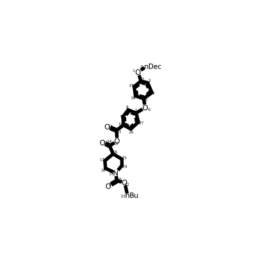 CCCCCCCCCCOc1ccc(Oc2ccc(C(=O)OC(=O)C3CCN(C(=O)OCCCC)CC3)cc2)cc1